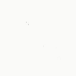 CC(C)c1nccc2c1OC(=O)CC2